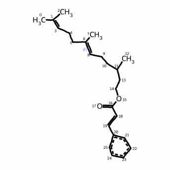 CC(C)=CCC/C(C)=C/CCC(C)CCOC(=O)C=Cc1ccccc1